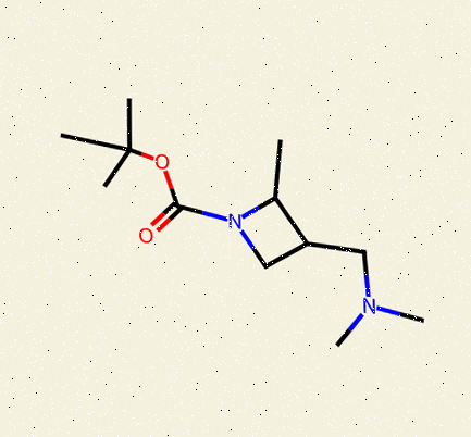 CC1C(CN(C)C)CN1C(=O)OC(C)(C)C